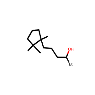 CCC(O)CCCC1(C)CCCC1(C)C